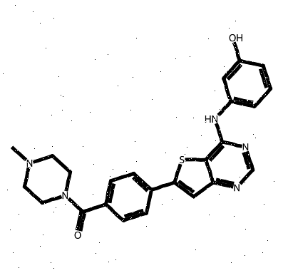 CN1CCN(C(=O)c2ccc(-c3cc4ncnc(Nc5cccc(O)c5)c4s3)cc2)CC1